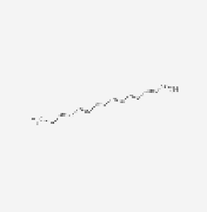 [CH]=C/C=C/C=C/C=C/C=C/C=C/C=C/CC